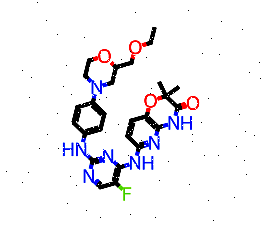 CCOCC1CN(c2ccc(Nc3ncc(F)c(Nc4ccc5c(n4)NC(=O)C(C)(C)O5)n3)cc2)CCO1